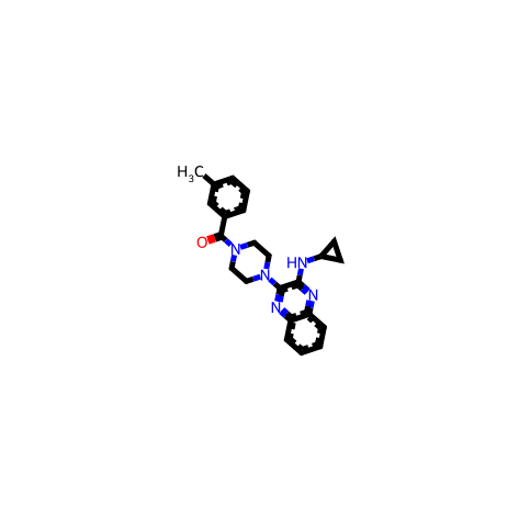 Cc1cccc(C(=O)N2CCN(c3nc4ccccc4nc3NC3CC3)CC2)c1